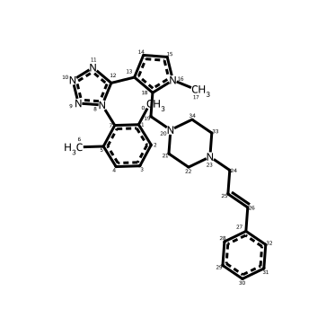 Cc1cccc(C)c1-n1nnnc1-c1ccn(C)c1CN1CCN(CC=Cc2ccccc2)CC1